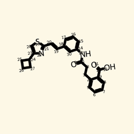 O=C(CCc1ccccc1C(=O)O)Nc1cccc(C=Cc2nc(C3CCC3)cs2)c1